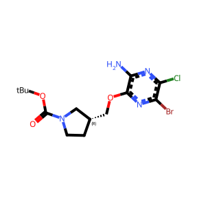 CC(C)(C)OC(=O)N1CC[C@@H](COc2nc(Br)c(Cl)nc2N)C1